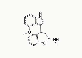 CNCCC(c1ccccc1Cl)c1c[nH]c2cccc(OC)c12